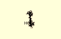 COP(=O)(CCCCCOP(O)N(C(C)C)C(C)C)OC